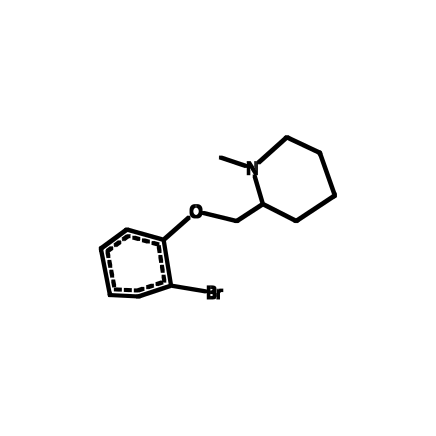 CN1CCCCC1COc1ccccc1Br